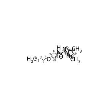 CCCCCOC1CCC(NC(=O)c2ncc3c(C)cc(C)nn23)CC1